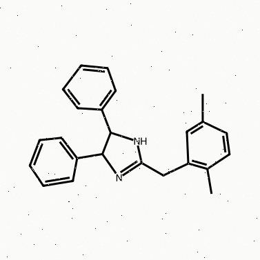 Cc1ccc(C)c(CC2=NC(c3ccccc3)C(c3ccccc3)N2)c1